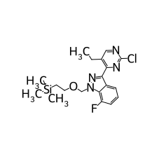 CCc1cnc(Cl)nc1-c1nn(COCC[Si](C)(C)C)c2c(F)cccc12